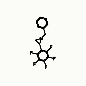 Fc1c(F)c(F)c(C2CN2Cc2ccccc2)c(F)c1F